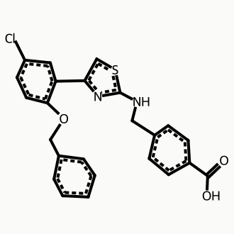 O=C(O)c1ccc(CNc2nc(-c3cc(Cl)ccc3OCc3ccccc3)cs2)cc1